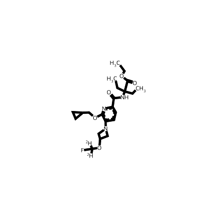 [2H]C([2H])(F)OC1CN(c2ccc(C(=O)NC(CC)(CC)C(=O)OCC)nc2OCC2CC2)C1